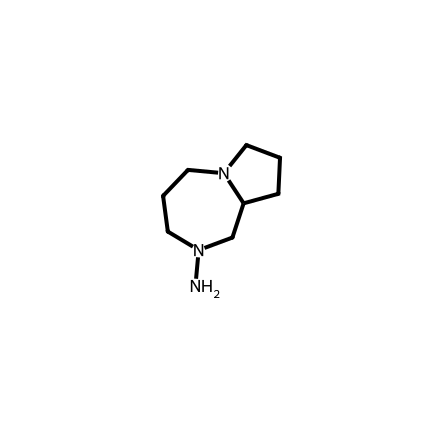 NN1CCCN2CCCC2C1